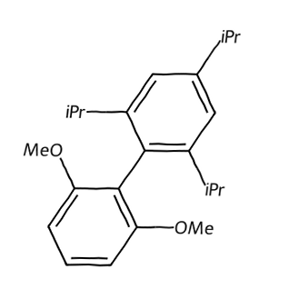 COc1cccc(OC)c1-c1c(C(C)C)cc(C(C)C)cc1C(C)C